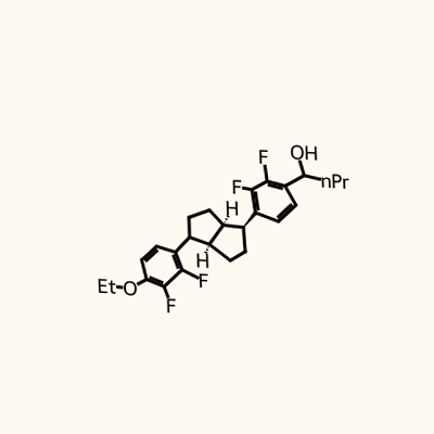 CCCC(O)c1ccc([C@H]2CC[C@H]3C(c4ccc(OCC)c(F)c4F)CC[C@@H]23)c(F)c1F